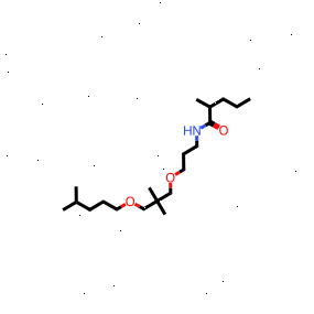 CCCC(C)C(=O)NCCCOCC(C)(C)COCCCC(C)C